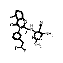 C[C@H](Nc1nc(N)nc(N)c1C#N)c1nc2cccc(F)c2c(=O)n1-c1cccc(CC(F)F)c1